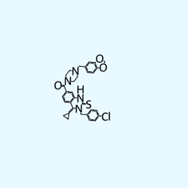 O=C(c1ccc2c(c1)NC(=S)N(Cc1ccc(Cl)cc1)C2=C1CC1)N1CCN(Cc2ccc3c(c2)OCO3)CC1